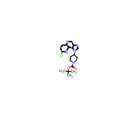 CC(C)(C)OC(=O)N1CCC(n2cnc3cnc4ccc(Cl)nc4c32)CC1